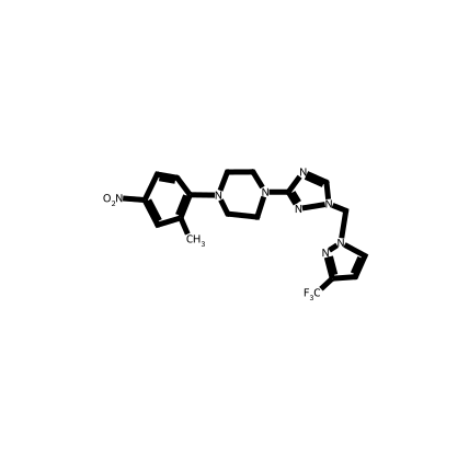 Cc1cc([N+](=O)[O-])ccc1N1CCN(c2ncn(Cn3ccc(C(F)(F)F)n3)n2)CC1